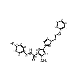 Cc1nc(-c2ccn(CCOc3ccccc3)n2)sc1C(=O)NCc1ccc(F)cc1